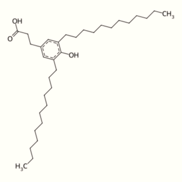 CCCCCCCCCCCCc1cc(CCC(=O)O)cc(CCCCCCCCCCCC)c1O